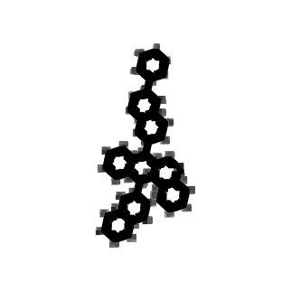 c1ccc(-c2ccc3cc(-c4c5ccccc5c(-c5ccc6ccccc6c5)c5c4cnc4ccccc45)ccc3c2)cc1